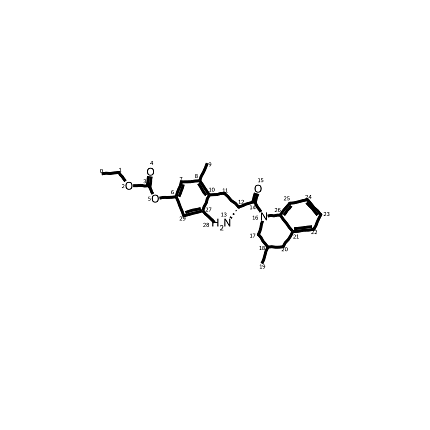 CCOC(=O)Oc1cc(C)c(C[C@@H](N)C(=O)N2CC(C)Cc3ccccc32)c(C)c1